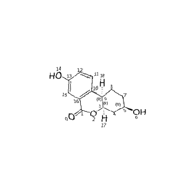 O=C1O[C@@H]2C[C@H](O)CC[C@@H]2c2ccc(O)cc21